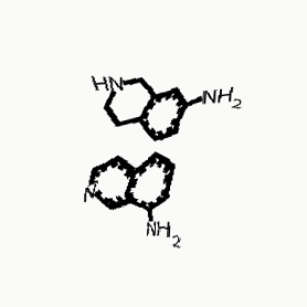 Nc1ccc2c(c1)CNCC2.Nc1cccc2ccncc12